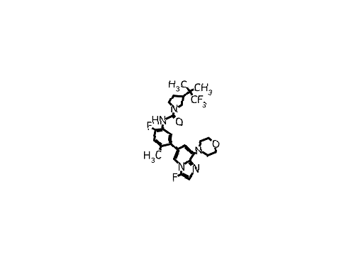 Cc1cc(F)c(NC(=O)N2CCC(C(C)(C)C(F)(F)F)C2)cc1-c1cc(N2CCOCC2)c2ncc(F)n2c1